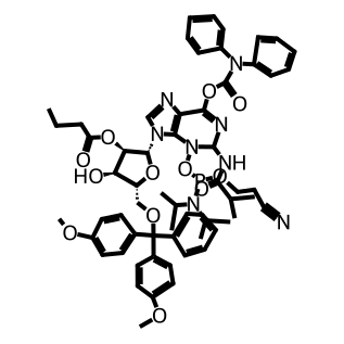 CCCC(=O)O[C@@H]1[C@H](O)[C@@H](COC(c2ccccc2)(c2ccc(OC)cc2)c2ccc(OC)cc2)O[C@H]1n1cnc2c1N(OP(OCCC#N)N(C(C)C)C(C)C)C(NC(=O)C(C)C)N=C2OC(=O)N(c1ccccc1)c1ccccc1